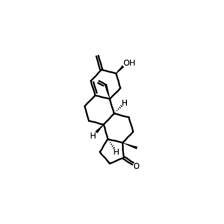 C=C[C@]12C[C@H](O)C(=C)C=C1CC[C@@H]1[C@@H]2CC[C@]2(C)C(=O)CC[C@@H]12